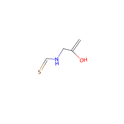 C=C(O)CNC=S